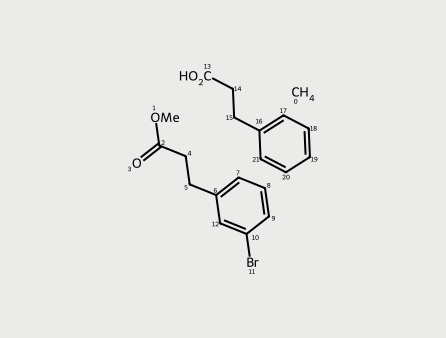 C.COC(=O)CCc1cccc(Br)c1.O=C(O)CCc1ccccc1